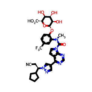 CN(C(=O)n1ccc2c(-c3cnn([C@H](CC#N)C4CCCC4)c3)ncnc21)c1cc(C(F)(F)F)ccc1O[C@@H]1O[C@H](C(=O)O)[C@@H](O)[C@H](O)[C@H]1O